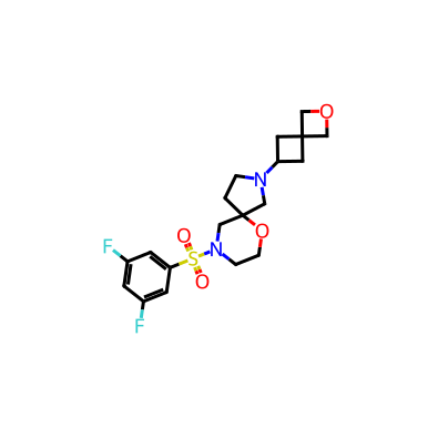 O=S(=O)(c1cc(F)cc(F)c1)N1CCOC2(CCN(C3CC4(COC4)C3)C2)C1